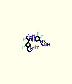 CC(C)N1CC=Cc2c(F)cc(-c3nc(Nc4ccc(N5CCNCC5)c(F)c4F)ncc3F)cc21